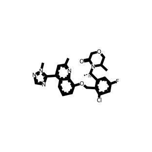 Cc1cc(-c2ncnn2C)c2cccc(OCc3c(Cl)cc(F)cc3[C@H](C)N3C(=O)COCC3C)c2n1